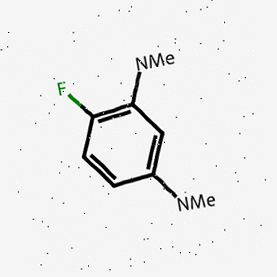 CNc1ccc(F)c(NC)c1